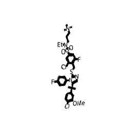 CCN(CCC[N+](C)(C)C)S(=O)(=O)c1cc(F)c(CSc2ncc(C(C)(C)c3ccc(Cl)c(OC)c3)n2-c2ccc(F)cc2)c(Cl)c1